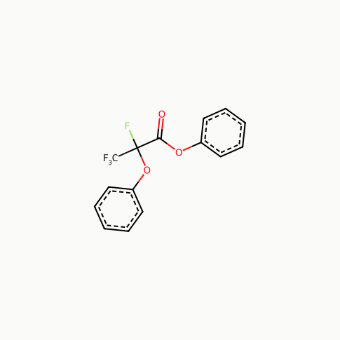 O=C(Oc1ccccc1)C(F)(Oc1ccccc1)C(F)(F)F